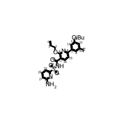 C=CCOc1nc(-c2cc(F)cc(OCC(C)C)c2)ccc1C(=O)NS(=O)(=O)c1cccc(N)n1